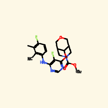 Cc1c(F)ccc(Nc2ncnc(OC3C4COCC3CN(C(=O)OC(C)(C)C)C4)c2F)c1C#N